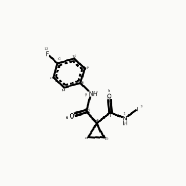 O=C(NI)C1(C(=O)Nc2ccc(F)cc2)CC1